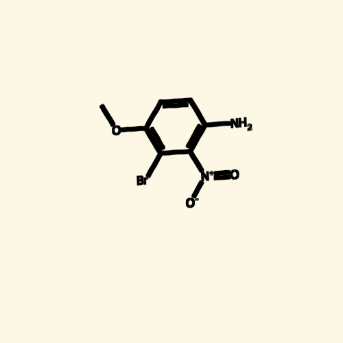 COc1ccc(N)c([N+](=O)[O-])c1Br